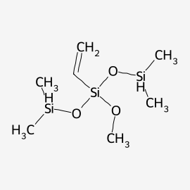 C=C[Si](OC)(O[SiH](C)C)O[SiH](C)C